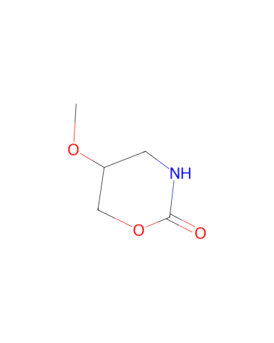 COC1CNC(=O)OC1